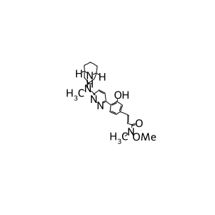 CON(C)C(=O)/C=C/c1ccc(-c2ccc(N(C)C3C[C@H]4CCC[C@@H](C3)N4)nn2)c(O)c1